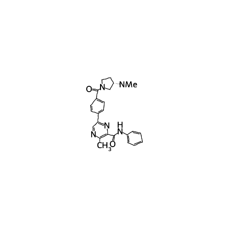 CN[C@H]1CCN(C(=O)c2ccc(-c3cnc(C)c(C(=O)Nc4ccccc4)n3)cc2)C1